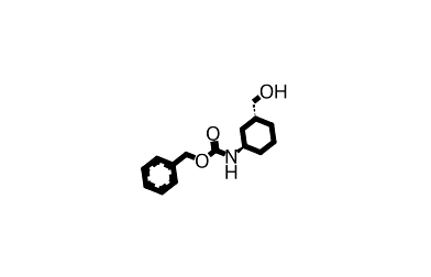 O=C(N[C@@H]1CCC[C@@H](CO)C1)OCc1ccccc1